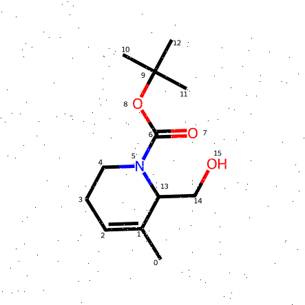 CC1=CCCN(C(=O)OC(C)(C)C)C1CO